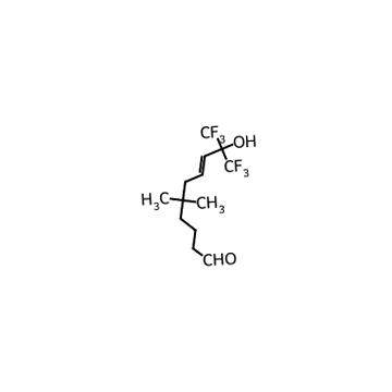 CC(C)(CC=CC(O)(C(F)(F)F)C(F)(F)F)CCCC=O